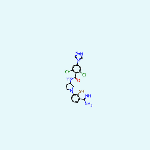 N=C(N)c1cccc(N2CCC(NC(=O)c3c(Cl)cc(-n4cnnc4)cc3Cl)C2)c1S